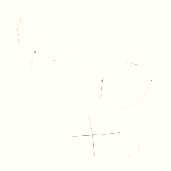 CC(C)(CO)C(=O)O.CC(C)(CO)CO.O=C1CCCCCO1